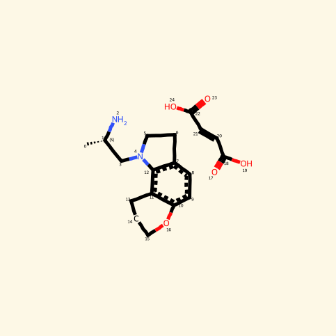 C[C@H](N)CN1CCc2ccc3c(c21)CCCO3.O=C(O)C=CC(=O)O